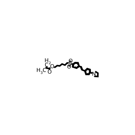 C=C(C)C(=O)OCCCCCCS(=O)(=O)c1ccc(C=Cc2ccc(N3CCCC3)cc2)cc1